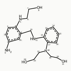 Nc1ccc(NCCO)c(CNc2ccccc2N(CCO)CCO)c1